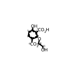 O=C(O)c1ccc(O)c(C(=O)O)c1OCCO